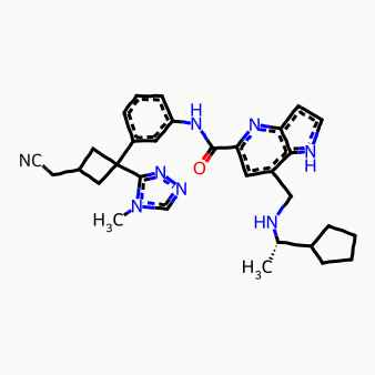 C[C@H](NCc1cc(C(=O)Nc2cccc(C3(c4nncn4C)CC(CC#N)C3)c2)nc2cc[nH]c12)C1CCCC1